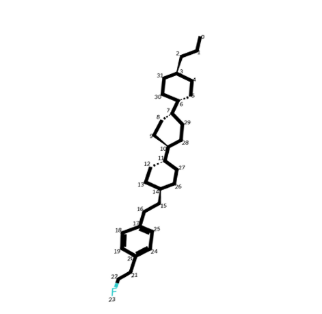 CCC[C@H]1CC[C@H]([C@H]2CC[C@H]([C@H]3CC[C@H](CCc4ccc(CCF)cc4)CC3)CC2)CC1